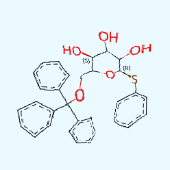 OC1C(O)[C@@H](Sc2ccccc2)OC(COC(c2ccccc2)(c2ccccc2)c2ccccc2)[C@H]1O